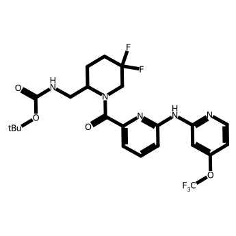 CC(C)(C)OC(=O)NCC1CCC(F)(F)CN1C(=O)c1cccc(Nc2cc(OC(F)(F)F)ccn2)n1